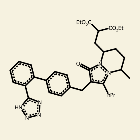 CCCc1c(Cc2ccc(-c3ccccc3-c3nnn[nH]3)cc2)c(=O)n2n1C(C)CCC2CC(C(=O)OCC)C(=O)OCC